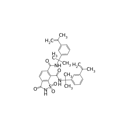 C=C(C)c1cccc(C(C)(C)NC(=O)c2ccc3c(c2C(=O)NC(C)(C)c2cccc(C(=C)C)c2)S(=O)(=O)NC3=O)c1